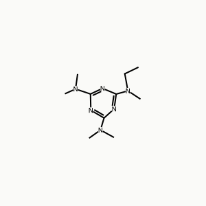 CCN(C)c1nc(N(C)C)nc(N(C)C)n1